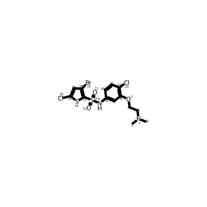 CN(C)CCOc1cc(NS(=O)(=O)c2sc(Cl)cc2Br)ccc1Cl